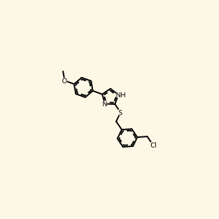 COc1ccc(-c2c[nH]c(SCc3cccc(CCl)c3)n2)cc1